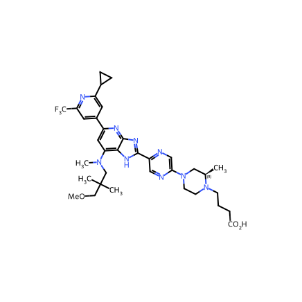 COCC(C)(C)CN(C)c1cc(-c2cc(C3CC3)nc(C(F)(F)F)c2)nc2nc(-c3cnc(N4CCN(CCCC(=O)O)[C@H](C)C4)cn3)[nH]c12